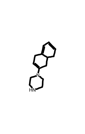 C1=CCC2CC(N3CCNCC3)=CCC2=C1